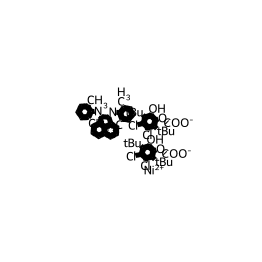 CC(C)(C)c1c(O)c(OC(=O)[O-])c(C(C)(C)C)c(Cl)c1Cl.CC(C)(C)c1c(O)c(OC(=O)[O-])c(C(C)(C)C)c(Cl)c1Cl.Cc1cccc(C)c1N=C1C(=Nc2c(C)cccc2C)c2cccc3cccc1c23.[Ni+2]